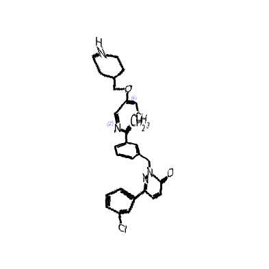 C=C(/N=C\C(=C/C)OCC1CCNCC1)c1cccc(Cn2nc(-c3cccc(Cl)c3)ccc2=O)c1